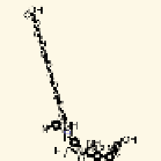 CCCN(Cc1ccc(C/N=C(/NCCOCCOCCOCCOCCOCCOCCOCCOCCOCCOCCC(=O)O)Nc2cccc(C#N)c2)cc1)C(=O)C1=Cc2ccc(-c3cccc(S(=O)(=O)N4CC(CO)C4)c3)cc2N=C(N)C1